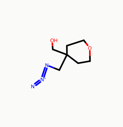 [N-]=[N+]=NCC1(CO)CCOCC1